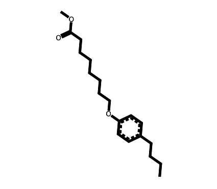 CCCCc1ccc(OCCCCCCCC(=O)OC)cc1